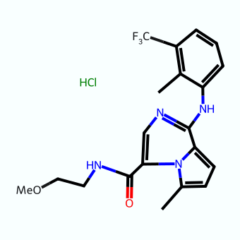 COCCNC(=O)c1cnc(Nc2cccc(C(F)(F)F)c2C)c2ccc(C)n12.Cl